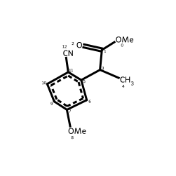 COC(=O)C(C)c1cc(OC)ccc1C#N